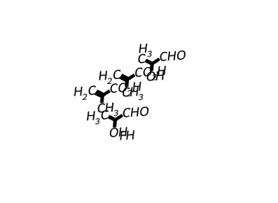 C=C(C)C(=O)O.C=C(C)C(=O)O.CC(O)C=O.CC(O)C=O.F